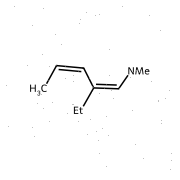 C/C=C\C(=C/NC)CC